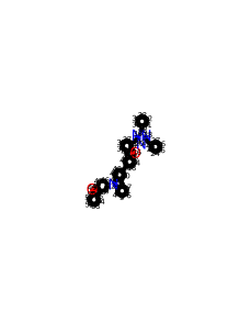 C1=C(n2c3ccccc3c3cc(-c4ccc5oc6c(-c7nc(-c8ccccc8)nc(-c8ccccc8)n7)cccc6c5c4)ccc32)CCc2oc3ccccc3c21